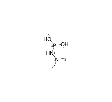 CN(C)NP(O)O